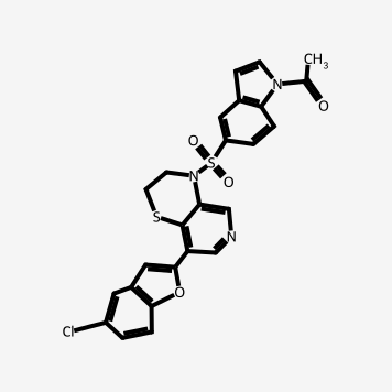 CC(=O)n1ccc2cc(S(=O)(=O)N3CCSc4c(-c5cc6cc(Cl)ccc6o5)cncc43)ccc21